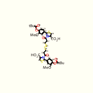 COc1cc(C2SC[C@@H](C(=O)O)N2C(=O)CCSSCCC(=O)N2C(c3ccc(OC(=O)C(C)(C)C)c(OC)c3)SC[C@H]2C(=O)O)ccc1OC(=O)C(C)(C)C